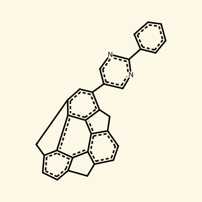 c1ccc(-c2ncc(-c3cc4c5c6c(ccc7c6c6c(ccc8c6c5c3C8)C7)C4)cn2)cc1